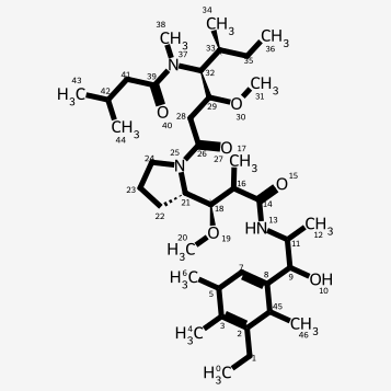 CCC1=C(C)C(C)C=C(C(O)C(C)NC(=O)C(C)[C@@H](OC)[C@@H]2CCCN2C(=O)CC(OC)[C@H]([C@@H](C)CC)N(C)C(=O)CC(C)C)C1C